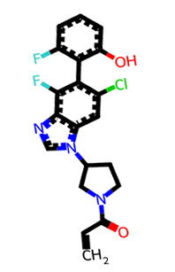 C=CC(=O)N1CCC(n2cnc3c(F)c(-c4c(O)cccc4F)c(Cl)cc32)C1